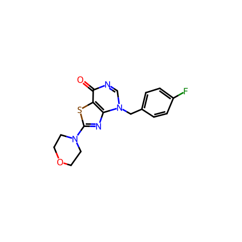 O=c1ncn(Cc2ccc(F)cc2)c2nc(N3CCOCC3)sc12